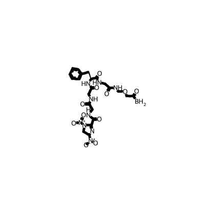 BC(=O)COCNC(=O)CNC(=O)[C@H](Cc1ccccc1)NC(=O)CNC(=O)CNC(=O)C1=NC([N+](=O)[O-])CN1[N+](=O)[O-]